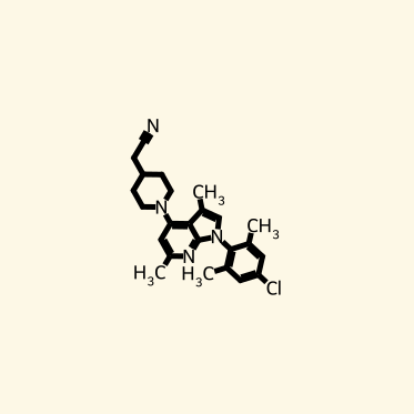 Cc1cc(N2CCC(CC#N)CC2)c2c(C)cn(-c3c(C)cc(Cl)cc3C)c2n1